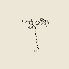 CCCCCCCCCCCC[Si]1(C)c2cc(C)sc2-c2sc([Si](C)(C)C)cc21